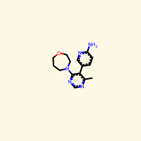 Cc1ncnc(N2CCCOCC2)c1-c1ccc(N)nc1